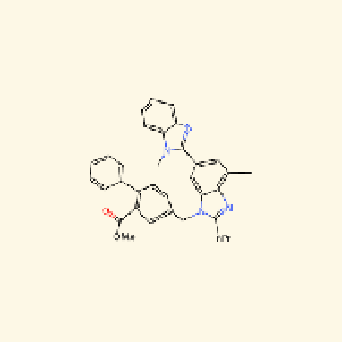 CCCc1nc2c(C)cc(-c3nc4ccccc4n3C)cc2n1Cc1ccc(-c2ccccc2)c(C(=O)OC)c1